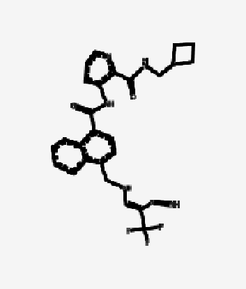 N=N/C(=C\NCc1ccc(C(=O)Nc2cccnc2C(=O)NCC2CCC2)c2ccccc12)C(F)(F)F